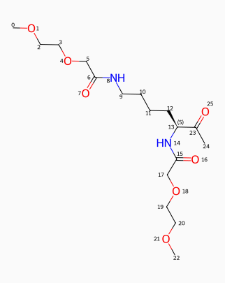 COCCOCC(=O)NCCCC[C@H](NC(=O)COCCOC)C(C)=O